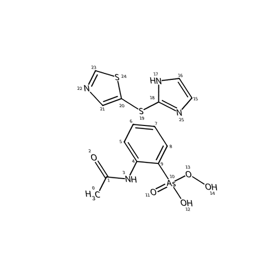 CC(=O)Nc1ccccc1[As](=O)(O)OO.c1c[nH]c(Sc2cncs2)n1